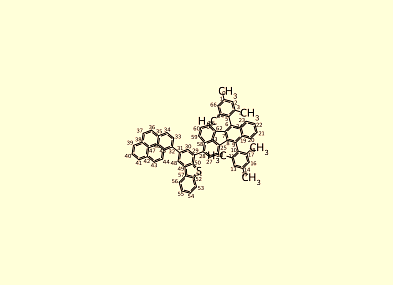 Cc1cc(C)c(-c2c3c(c(-c4c(C)cc(C)cc4C)c4ccccc24)-c2ccc(-c4cc(-c5ccc6ccc7cccc8ccc5c6c78)cc5c4sc4ccccc45)c4cccc-3c24)c(C)c1